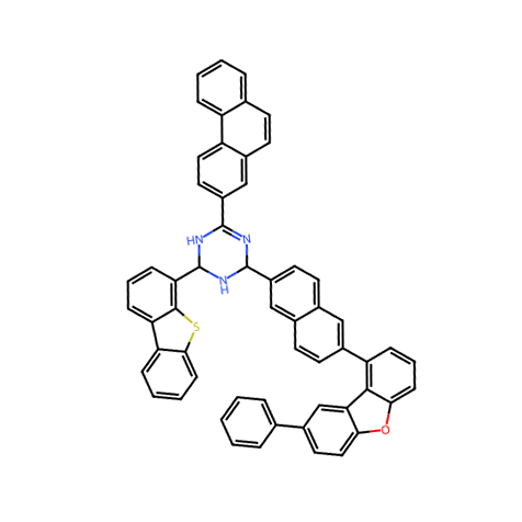 c1ccc(-c2ccc3oc4cccc(-c5ccc6cc(C7N=C(c8ccc9c(ccc%10ccccc%109)c8)NC(c8cccc9c8sc8ccccc89)N7)ccc6c5)c4c3c2)cc1